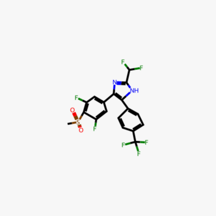 CS(=O)(=O)c1c(F)cc(-c2nc(C(F)F)[nH]c2-c2ccc(C(F)(F)F)cc2)cc1F